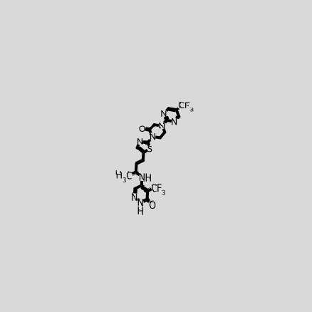 CC(CCc1cnc(N2CCN(c3ncc(C(F)(F)F)cn3)CC2=O)s1)Nc1cn[nH]c(=O)c1C(F)(F)F